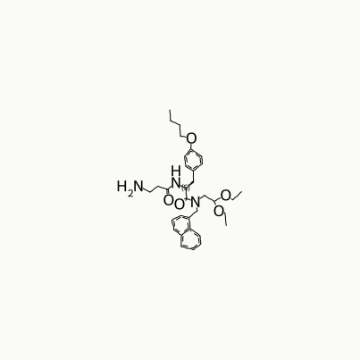 CCCCOc1ccc(C[C@H](NC(=O)CCN)C(=O)N(Cc2cccc3ccccc23)CC(OCC)OCC)cc1